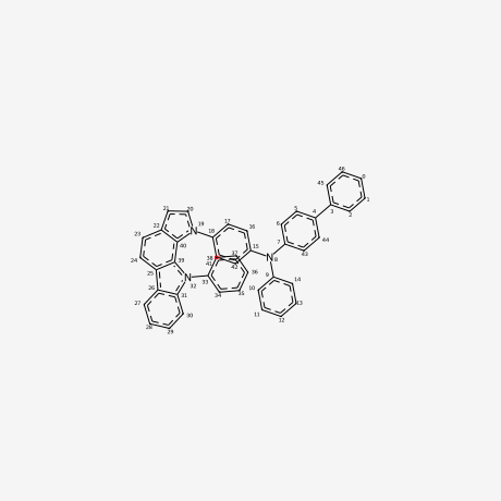 c1ccc(-c2ccc(N(c3ccccc3)c3ccc(-n4ccc5ccc6c7ccccc7n(-c7ccccc7)c6c54)cc3)cc2)cc1